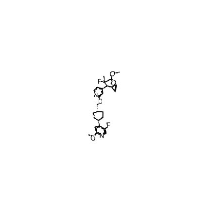 COC(=O)C(C)(F)[C@H](c1ccnc(OC[C@H]2CC[C@H](c3cc(OC)ncc3F)CC2)c1)C1CC1